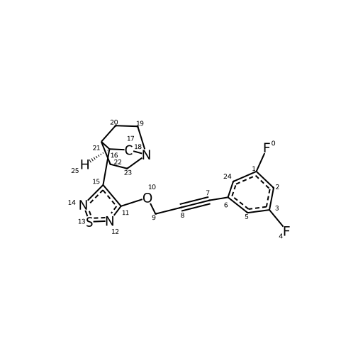 Fc1cc(F)cc(C#CCOc2nsnc2[C@@H]2CN3CCC2CC3)c1